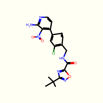 CC(C)(C)c1noc(C(=O)NCc2ccc(-c3ccnc(N)c3[N+](=O)[O-])cc2Cl)n1